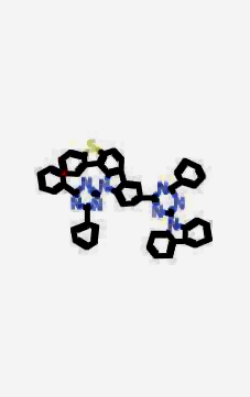 c1ccc(-c2nc(-c3ccc4c(c3)c3ccc5sc6ccccc6c5c3n4-c3nc(-c4ccccc4)nc(-c4ccccc4)n3)nc(-n3c4ccccc4c4ccccc43)n2)cc1